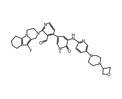 Cn1cc(-c2ccnc(N3CCn4c(c(F)c5c4CCCC5)C3)c2C=O)cc(Nc2ccc(N3CCN(C4COC4)CC3)cn2)c1=O